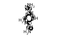 B[P@]1(=O)OC[C@H]2O[C@@H](n3cnc4c(N)ncnc43)[C@H](F)[C@@H]2O[P@@](=O)(S)OCC2O[C@@H](n3cnc4c(N)ccnc43)[C@H](F)[C@@H]2O1